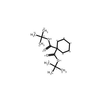 CC(C)(C)OC(=O)C1(C(=O)OC(C)(C)C)CCCCC1